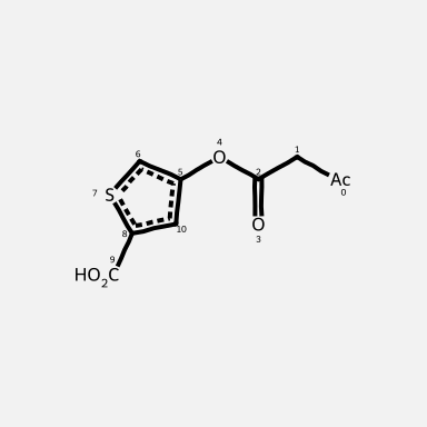 CC(=O)CC(=O)Oc1csc(C(=O)O)c1